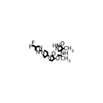 Cc1c(N[C@@H](C)CO[C@H]2CCN(C3CCN(c4ncc(C(F)F)cn4)CC3)C2=O)cn[nH]c1=O